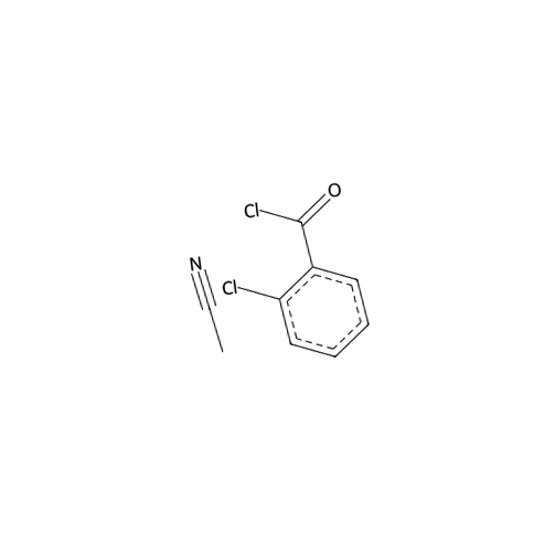 CC#N.O=C(Cl)c1ccccc1Cl